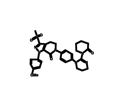 COc1ccc(-n2nc(S(C)(=O)=O)c3c2C(=O)N(c2ccc(N4CCCN=C4N4CCCCC4=O)cc2)CC3)cc1